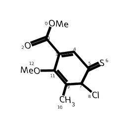 COC(=O)C1=CC(=S)C(Cl)C(C)=C1OC